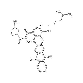 CN(C)CCCCNc1c(F)cc2c(=O)c(C(=O)N3CCC(N)C3)cn3c4cc5c(=O)c6ccccc6c(=O)c5cc4oc1c23